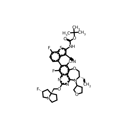 C=C[C@H]1COc2c(Cl)c(-c3ccc(F)c4sc(NC(=O)OC(C)(C)C)c(C#N)c34)c(F)c3nc(OC[C@@]45CCCN4C[C@H](F)C5)nc(c23)N1C1CCOC1